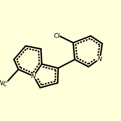 N#Cc1cccc2c(-c3cnccc3Cl)ccn12